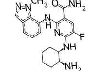 Cn1ncc2cccc(Nc3nc(N[C@@H]4CCCC[C@@H]4N)c(F)cc3C(N)=O)c21